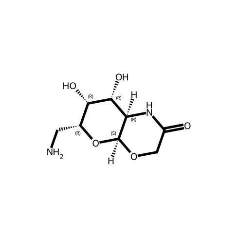 NC[C@H]1O[C@@H]2OCC(=O)N[C@@H]2[C@@H](O)[C@H]1O